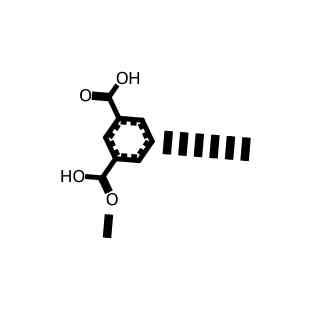 C=C.C=C.C=C.C=C.C=C.C=C.C=C.O=C(O)c1cccc(C(=O)O)c1